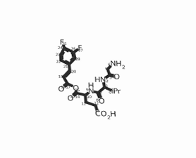 CC(C)C(NC(=O)CN)C(=O)NC(CCC(=O)O)C(=O)OC(=O)/C=C/c1ccc(F)c(F)c1